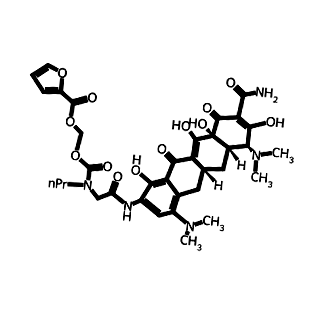 CCCN(CC(=O)Nc1cc(N(C)C)c2c(c1O)C(=O)C1=C(O)[C@]3(O)C(=O)C(C(N)=O)=C(O)[C@@H](N(C)C)[C@@H]3C[C@@H]1C2)C(=O)OCOC(=O)c1ccco1